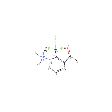 CC(=O)c1cccc([N+](C)(C)C)c1C(F)(F)F